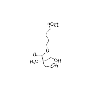 CCCCCCCCCCCCOC(=O)C(C)(CO)CO